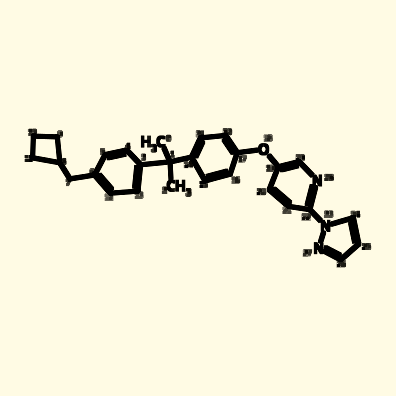 CC(C)(c1ccc(CC2CCC2)cc1)c1ccc(Oc2ccc(-n3cccn3)nc2)cc1